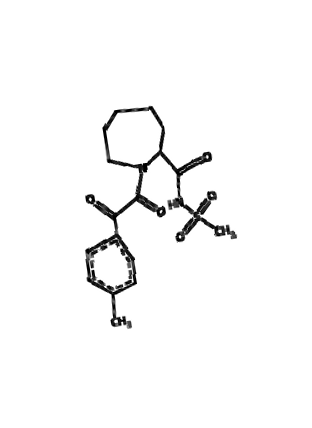 Cc1ccc(C(=O)C(=O)N2CCCCCC2C(=O)NS(C)(=O)=O)cc1